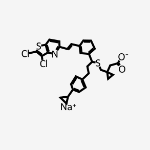 O=C([O-])CC1(CSC(CCc2ccc(C3CC3)cc2)c2cccc(/C=C/c3ccc4sc(Cl)c(Cl)c4n3)c2)CC1.[Na+]